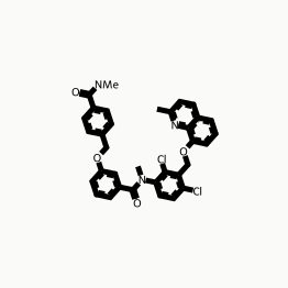 CNC(=O)c1ccc(COc2cccc(C(=O)N(C)c3ccc(Cl)c(COc4cccc5ccc(C)nc45)c3Cl)c2)cc1